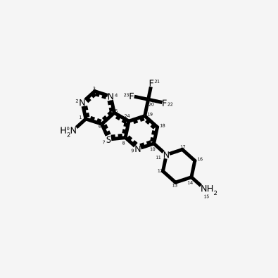 Nc1ncnc2c1sc1nc(N3CCC(N)CC3)cc(C(F)(F)F)c12